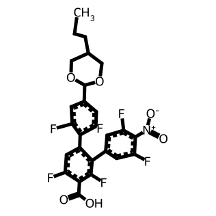 CCCC1COC(c2cc(F)c(-c3cc(F)c(C(=O)O)c(F)c3-c3cc(F)c([N+](=O)[O-])c(F)c3)c(F)c2)OC1